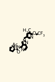 CC(=O)N1CCC[C@H]1C(=O)Nc1nccc2nn(Cc3cnc(OCC(F)(F)F)c(C)c3)cc12